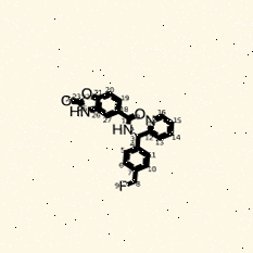 O=C(N[C@@H](c1ccc(CF)cc1)c1ccccn1)c1ccc2oc(=O)[nH]c2c1